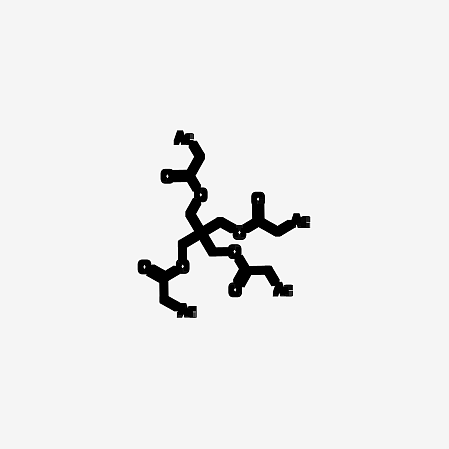 CC(=O)CC(=O)OCC(COC(=O)CC(C)=O)(COC(=O)CC(C)=O)COC(=O)CC(C)=O